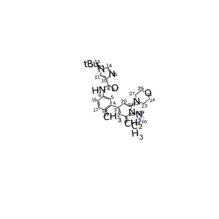 C=C1C=C(c2cc(NC(=O)c3cn(C(C)(C)C)cn3)ccc2C)C=C(N2CCOCC2)N1/N=C\C